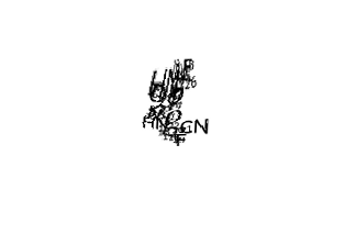 C[C@@H](NC(=O)C(=O)c1cn(C)c(C(=O)Nc2ccc(F)c(C#N)c2)c1F)C(C)(F)F